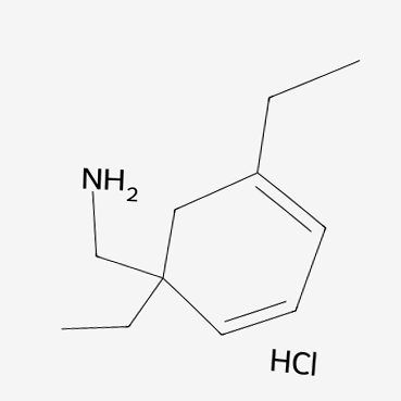 CCC1=CC=CC(CC)(CN)C1.Cl